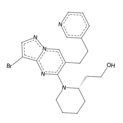 OCC[C@@H]1CCCCN1c1nc2c(Br)cnn2cc1CCc1cccnc1